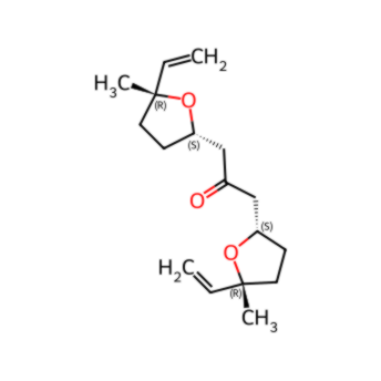 C=C[C@@]1(C)CC[C@@H](CC(=O)C[C@@H]2CC[C@](C)(C=C)O2)O1